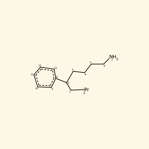 CC(C)C[C](CCCCN)c1ccccc1